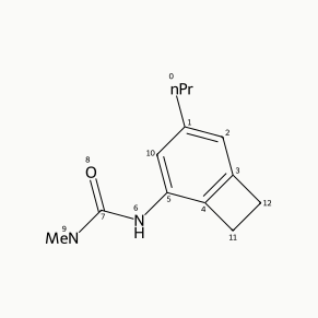 CCCc1cc2c(c(NC(=O)NC)c1)CC2